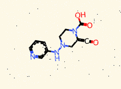 O=C=C1CN(Nc2cccnc2)CCN1C(=O)O